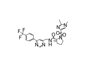 Cc1nc(S(=O)(=O)N2CCC[C@H]2C(=O)NCc2cc(-c3ccc(C(F)(F)F)cc3)ncn2)cn1C